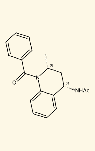 CC(=O)N[C@H]1C[C@@H](C)N(C(=O)c2ccccc2)c2ccccc21